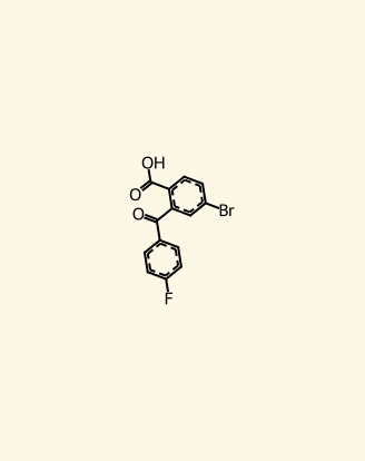 O=C(O)c1ccc(Br)cc1C(=O)c1ccc(F)cc1